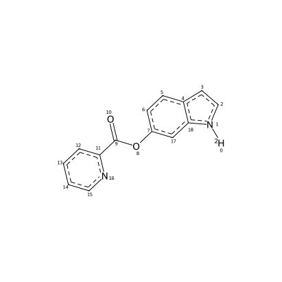 [2H]n1ccc2ccc(OC(=O)c3ccccn3)cc21